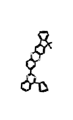 CC1(C)c2ccccc2-c2cc3c(cc21)Oc1cc(-c2nc(-c4ccccc4)c4ccccc4n2)ccc1O3